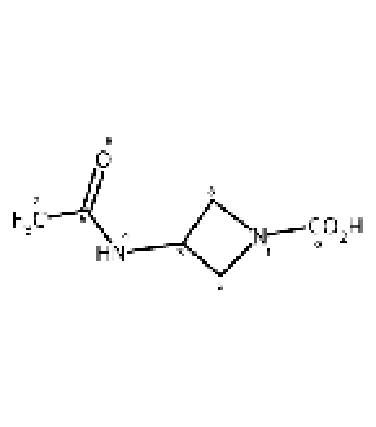 O=C(O)N1CC(NC(=O)C(F)(F)F)C1